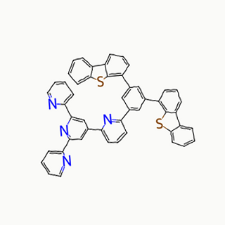 c1ccc(-c2cc(-c3cccc(-c4cc(-c5cccc6c5sc5ccccc56)cc(-c5cccc6c5sc5ccccc56)c4)n3)cc(-c3ccccn3)n2)nc1